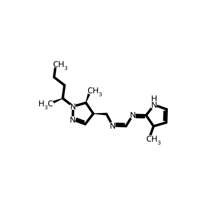 CCC[C@H](C)N1N=C[C@H](C/N=C\N=C2\NC=CC2C)[C@@H]1C